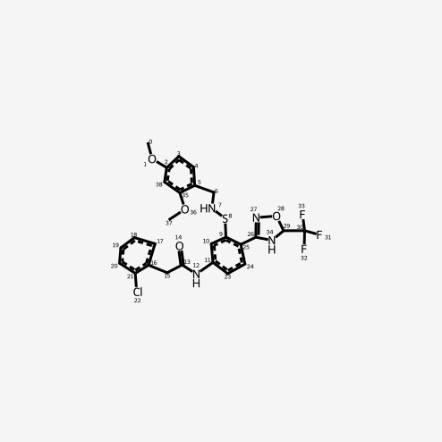 COc1ccc(CNSc2cc(NC(=O)Cc3ccccc3Cl)ccc2C2=NOC(C(F)(F)F)N2)c(OC)c1